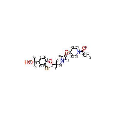 CC(C)(COc1ccc(C(C)(C)O)cc1Br)CN1CC(OC2CCN(C(=O)C(F)(F)F)CC2)C1